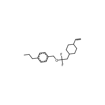 C=CC1CCC(CC(F)(F)OCc2ccc(CCC)cc2)CC1